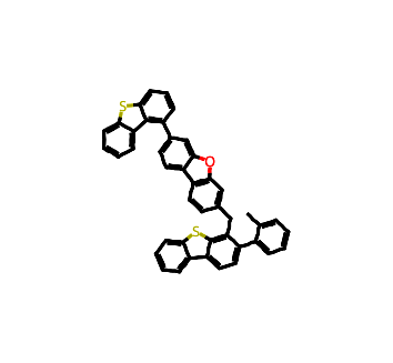 Cc1ccccc1-c1ccc2c(sc3ccccc32)c1Cc1ccc2c(c1)oc1cc(-c3cccc4sc5ccccc5c34)ccc12